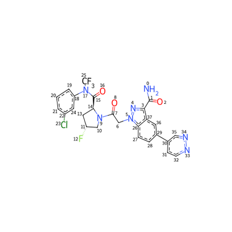 NC(=O)c1nn(CC(=O)N2C[C@H](F)C[C@H]2C(=O)N(c2cccc(Cl)c2)C(F)(F)F)c2ccc(-c3ccnnc3)cc12